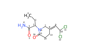 CCC(C(N)=O)N1CC(=CC(Cl)Cl)CCC1=O